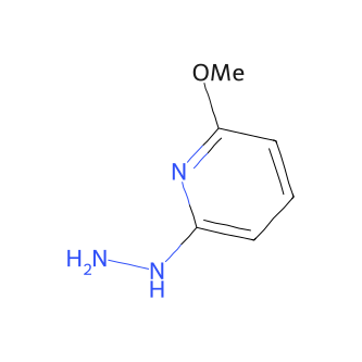 COc1cccc(NN)n1